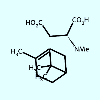 CC1=C2CC(CC1)C2(C)C.CN[C@H](CC(=O)O)C(=O)O